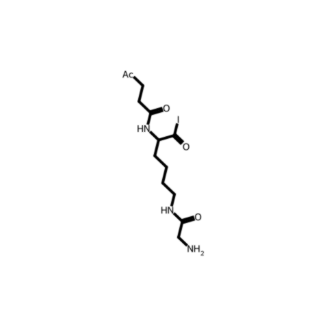 CC(=O)CCC(=O)NC(CCCCNC(=O)CN)C(=O)I